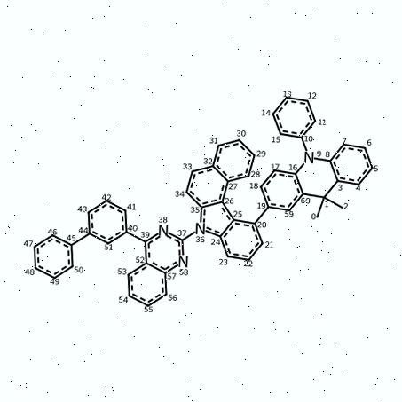 CC1(C)c2ccccc2N(c2ccccc2)c2ccc(-c3cccc4c3c3c5ccccc5ccc3n4-c3nc(-c4cccc(-c5ccccc5)c4)c4ccccc4n3)cc21